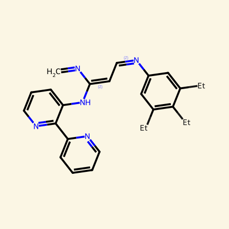 C=N/C(=C\C=N/c1cc(CC)c(CC)c(CC)c1)Nc1cccnc1-c1ccccn1